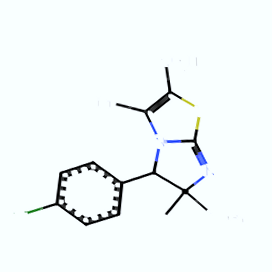 CCCCCC1(C)N=C2SC(C(=O)O)=C(C(C)C)N2C1c1ccc(Cl)cc1